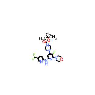 CC(C)(C)OC(=O)N1CCN(c2cc(Nc3ccc(C(F)F)cn3)nc(N3CCOCC3)c2F)CC1